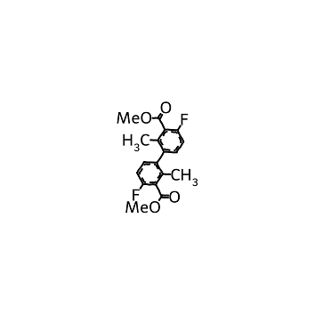 COC(=O)c1c(F)ccc(-c2ccc(F)c(C(=O)OC)c2C)c1C